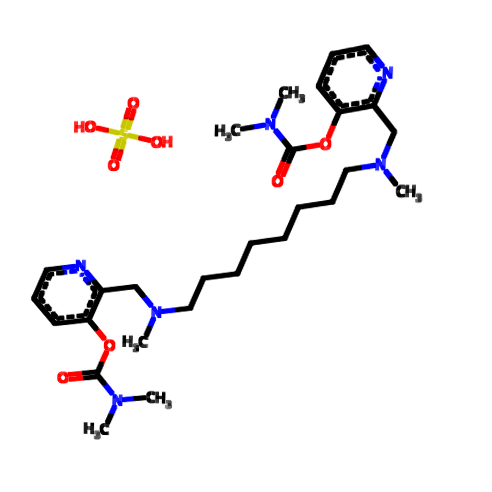 CN(CCCCCCCCN(C)Cc1ncccc1OC(=O)N(C)C)Cc1ncccc1OC(=O)N(C)C.O=S(=O)(O)O